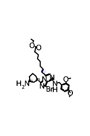 CCOC(=O)CCCCC/C=C/c1cnc(NCc2ccc(OC)cc2OC)c2c(Br)nc([C@@H]3CCC[C@@H](N)C3)n12